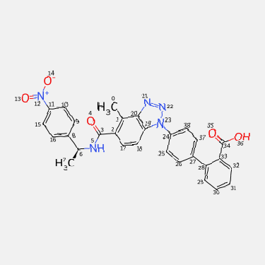 Cc1c(C(=O)N[C@@H](C)c2ccc([N+](=O)[O-])cc2)ccc2c1nnn2-c1ccc(-c2ccccc2C(=O)O)cc1